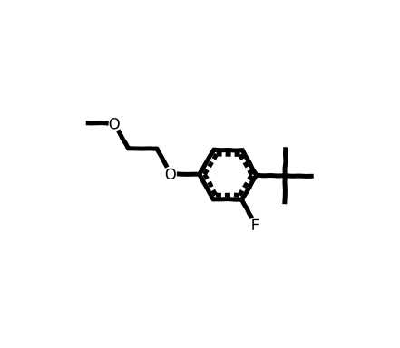 COCCOc1ccc(C(C)(C)C)c(F)c1